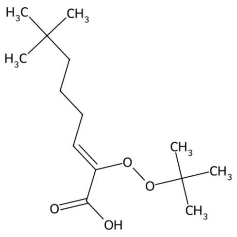 CC(C)(C)CCCC=C(OOC(C)(C)C)C(=O)O